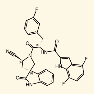 N#C[C@@H]1C[C@@]2(CN1C(=O)[C@H](Cc1cccc(F)c1)NC(=O)c1cc3c(F)ccc(F)c3[nH]1)C(=O)Nc1ccccc12